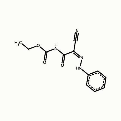 CCOC(=O)NC(=O)C(C#N)=NNc1ccccc1